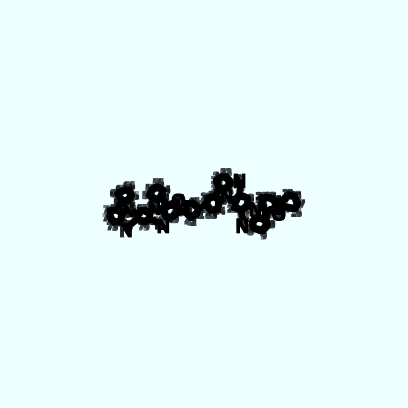 N#Cc1cc(-n2c3ccccc3c3c4oc5ccccc5c4ccc32)c(C#N)cc1-n1c2ccccc2c2cc(-c3ccc4c(c3)oc3c4ccc4c3c3ccccc3n4-c3cc(-n4c5ccccc5c5ccccc54)c(C#N)cc3C#N)ccc21